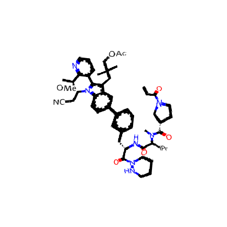 C=CC(=O)N1CC[C@H](C(=O)N(C)C(C(=O)N[C@@H](Cc2cccc(-c3ccc4c(c3)c(CC(C)(C)COC(C)=O)c(-c3cccnc3[C@H](C)OC)n4CCC#N)c2)C(=O)N2CCCCN2)C(C)C)C1